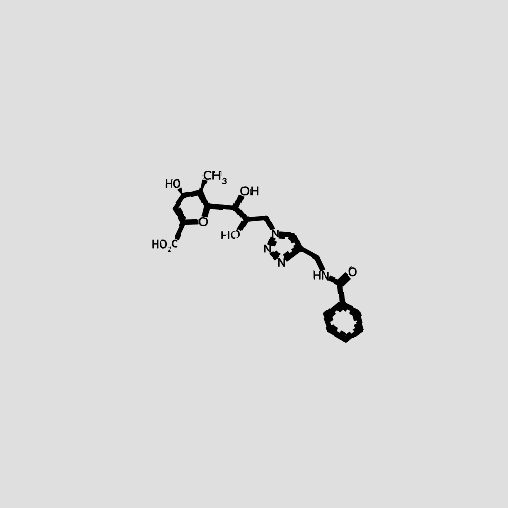 C[C@H]1C(C(O)C(O)Cn2cc(CNC(=O)c3ccccc3)nn2)OC(C(=O)O)=C[C@H]1O